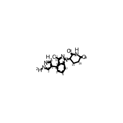 [2H]n1cc(-c2cccc3c2c(C)nn3C2CCC(=O)NC2=O)cn1